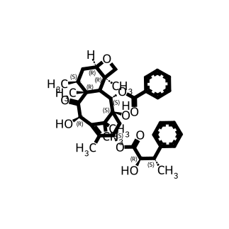 CC1=C2[C@@H](O)C(=O)[C@@]3(C)C([C@H](OC(=O)c4ccccc4)[C@](O)(C[C@@H]1OC(=O)[C@H](O)[C@@H](C)c1ccccc1)C2(C)C)[C@]1(C)CO[C@@H]1C[C@@H]3C